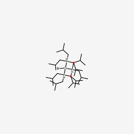 CC(C)C[PH](CC(C)C)(CC(C)C)[Co]([Br])([PH](CC(C)C)(CC(C)C)CC(C)C)[PH](CC(C)C)(CC(C)C)CC(C)C